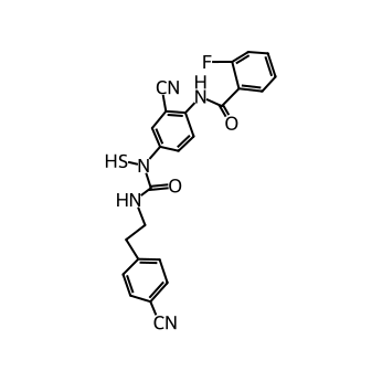 N#Cc1ccc(CCNC(=O)N(S)c2ccc(NC(=O)c3ccccc3F)c(C#N)c2)cc1